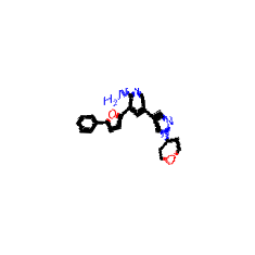 Nc1ncc(-c2cnn(C3CCOCC3)c2)cc1-c1ccc(-c2ccccc2)o1